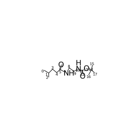 CC(C)CCC(=O)NCCNC(=O)OC(C)(C)C